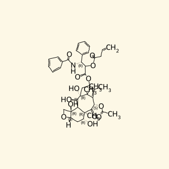 C=CCC(=O)OC(C(=O)OC1C[C@]2(O)[C@H](O)C3[C@@]4(O)CO[C@H]4C[C@@H](O)[C@]3(C)C(=O)[C@@H](OC(C)=O)C(=C1C)C2(C)C)[C@H](NC(=O)c1ccccc1)c1ccccc1